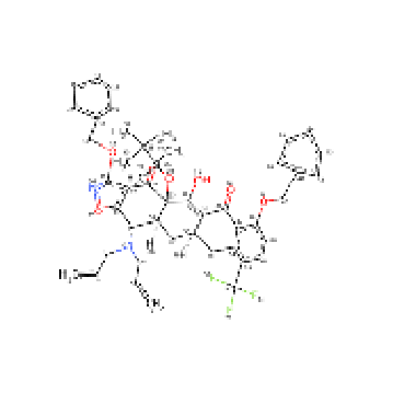 C=CCN(CC=C)[C@@H]1c2onc(OCc3ccccc3)c2C(=O)C2(O[Si](C)(C)C(C)(C)C)C(O)=C3C(=O)c4c(OCc5ccccc5)ccc(C(F)(F)F)c4C[C@H]3C[C@@H]12